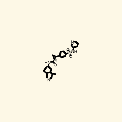 Cc1cncc2ccc(NC(=O)[C@@H]3CC3c3ccc(S(=O)(=O)Nc4cccnc4)cc3)cc12